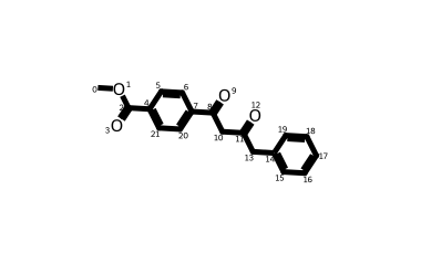 COC(=O)c1ccc(C(=O)CC(=O)Cc2ccccc2)cc1